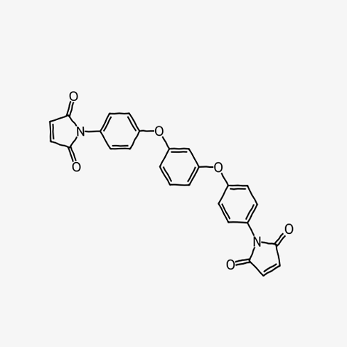 O=C1C=CC(=O)N1c1ccc(Oc2cccc(Oc3ccc(N4C(=O)C=CC4=O)cc3)c2)cc1